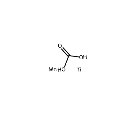 O=C(O)O.[Mn].[Ti]